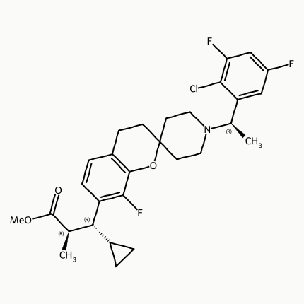 COC(=O)[C@H](C)[C@H](c1ccc2c(c1F)OC1(CC2)CCN([C@H](C)c2cc(F)cc(F)c2Cl)CC1)C1CC1